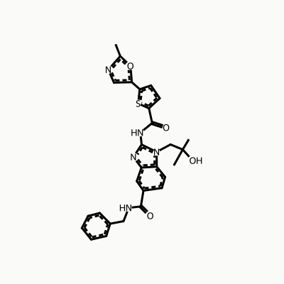 Cc1ncc(-c2ccc(C(=O)Nc3nc4cc(C(=O)NCc5ccccc5)ccc4n3CC(C)(C)O)s2)o1